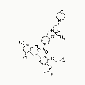 CS(=O)(=O)N(CCN1CCOCC1)Cc1ccc(C(=O)OC(Cc2c(Cl)c[n+]([O-])cc2Cl)c2ccc(OC(F)F)c(OCC3CC3)c2)cc1